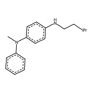 CC(C)CCNc1ccc(N(C)c2ccccc2)cc1